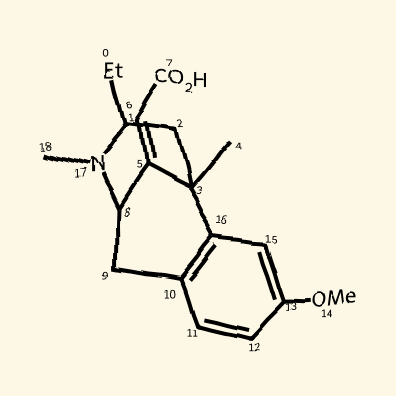 CCC1CC2(C)C(=CC(=O)O)C(Cc3ccc(OC)cc32)N1C